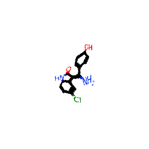 N/C(=C1/C(=O)Nc2ccc(Cl)cc21)c1ccc(O)cc1